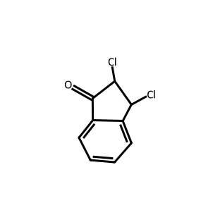 O=C1c2ccccc2C(Cl)C1Cl